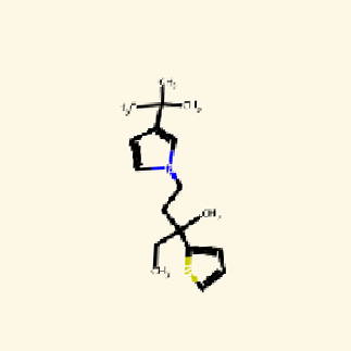 CCC(C)(CCn1ccc(C(C)(C)C)c1)c1cccs1